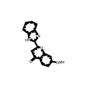 COc1ccc2c(=S)cc(-c3nc4ccccc4[nH]3)oc2c1